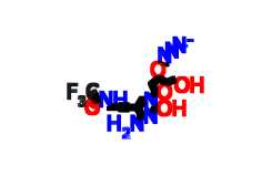 [N-]=[N+]=NCOC1CC(N2C=C(C#CCNC(=O)C(F)(F)F)C(N)=NC2O)OC1CO